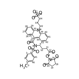 Cc1ccc(S(=O)(=O)N(CCCC(=O)ON2C(=O)CCC2=O)C(=O)c2c3ccccc3[n+](CCCS(=O)(=O)[O-])c3ccccc23)cc1